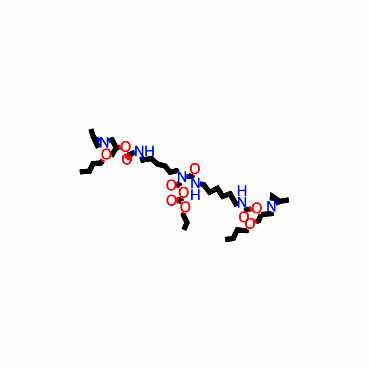 CCCCOCC(CN1CC1C)OC(=O)NCCCCCCNC(=O)N(CCCCCCNC(=O)OC(COCCCC)CN1CC1C)C(=O)OC(=O)OCCC